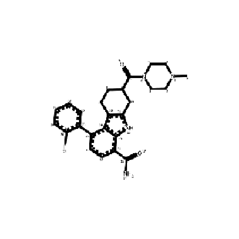 CN1CCN(C(=O)C2CCc3c([nH]c4c(C(N)=O)ccc(-c5ccccc5F)c34)C2)CC1